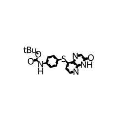 CC(C)(C)OC(=O)Nc1ccc(Sc2ccnc3[nH]c(=O)cnc23)cc1